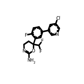 NC1=NCCC(c2cc(-c3cncc(Cl)c3)ccc2F)(C(F)F)O1